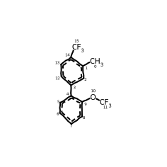 Cc1cc(-c2ccccc2OC(F)(F)F)ccc1C(F)(F)F